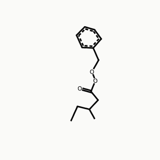 CCC(C)CC(=O)OOCc1ccccc1